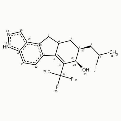 CC(I)C[C@@H]1CC2Cc3c(ccc4[nH]ncc34)C2=C(C(F)(F)F)[C@@H]1O